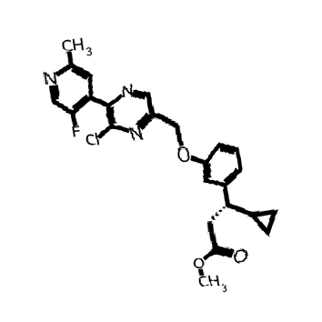 COC(=O)C[C@H](c1cccc(OCc2cnc(-c3cc(C)ncc3F)c(Cl)n2)c1)C1CC1